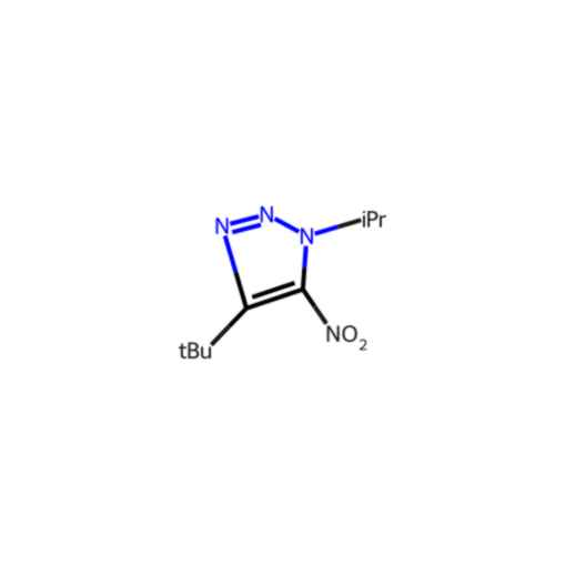 CC(C)n1nnc(C(C)(C)C)c1[N+](=O)[O-]